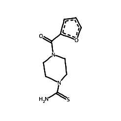 NC(=S)N1CCN(C(=O)c2ccco2)CC1